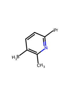 Bc1ccc(C(C)C)nc1C